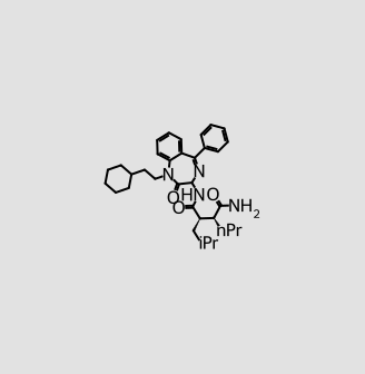 CCC[C@H](C(N)=O)[C@@H](CC(C)C)C(=O)NC1N=C(c2ccccc2)c2ccccc2N(CCC2CCCCC2)C1=O